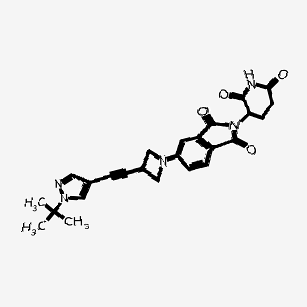 CC(C)(C)n1cc(C#CC2CN(c3ccc4c(c3)C(=O)N(C3CCC(=O)NC3=O)C4=O)C2)cn1